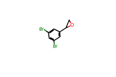 Brc1cc(Br)cc(C2CO2)c1